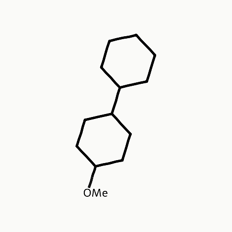 COC1CCC(C2CCCCC2)CC1